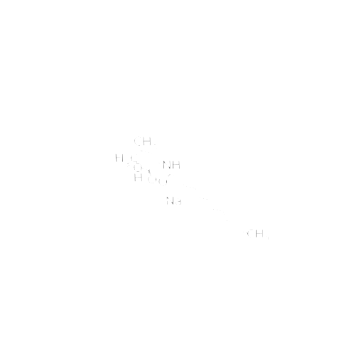 CCCCCCCCCCCC(=O)N[C@@H](CC(C)C)C(=O)O.[Na]